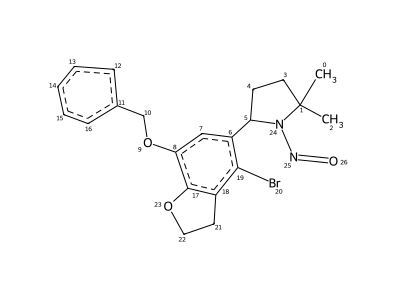 CC1(C)CCC(c2cc(OCc3ccccc3)c3c(c2Br)CCO3)N1N=O